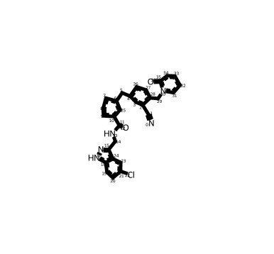 N#Cc1cc(Cc2cccc(C(=O)NCc3n[nH]c4ccc(Cl)cc34)c2)ccc1Cn1ccccc1=O